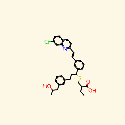 CCC(CSC(CCc1cccc(CC(C)O)c1)c1cccc(C=Cc2ccc3ccc(Cl)cc3n2)c1)C(=O)O